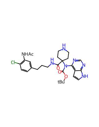 CC(=O)Nc1cc(CCCNC(=O)C2(N(C(=O)OC(C)(C)C)c3ncnc4[nH]ccc34)CCNCC2)ccc1Cl